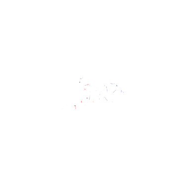 CCC(=O)OC[C@H]1O[C@@H](c2csc3c(N)ncnc23)C[C@@H]1OC(=O)CC